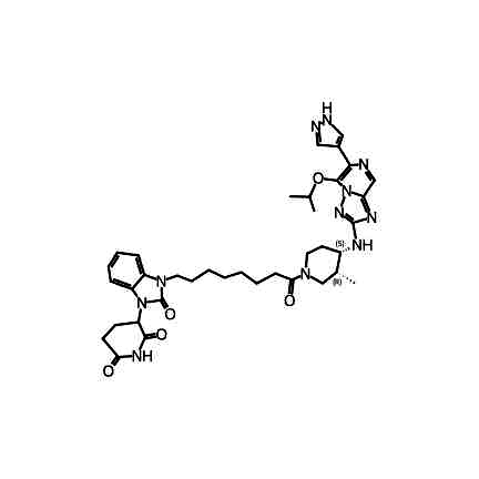 CC(C)Oc1c(-c2cn[nH]c2)ncc2nc(N[C@H]3CCN(C(=O)CCCCCCCn4c(=O)n(C5CCC(=O)NC5=O)c5ccccc54)C[C@H]3C)nn12